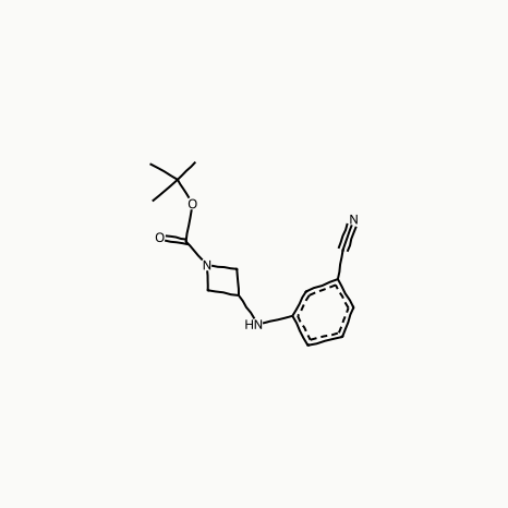 CC(C)(C)OC(=O)N1CC(Nc2cccc(C#N)c2)C1